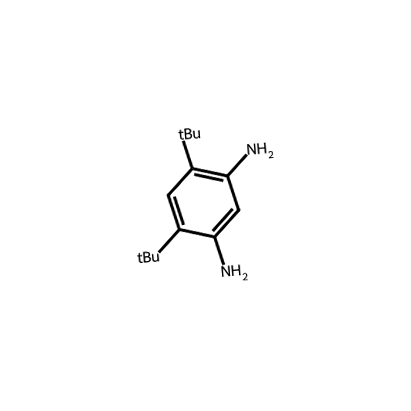 CC(C)(C)c1cc(C(C)(C)C)c(N)cc1N